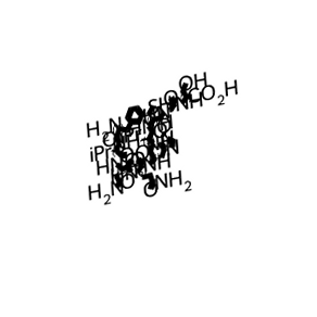 CC(C)C[C@H](NC(=O)[C@H](Cc1c[nH]cn1)NC(=O)[C@H](CCC(N)=O)NC(=O)[C@H](CC(N)=O)NC(=O)[C@@H](NC(=O)[C@@H](N)Cc1ccccc1)C(C)C)C(=O)N[C@@H](CS)C(=O)NCC(=O)N[C@@H](CO)C(=O)O